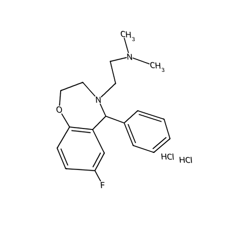 CN(C)CCN1CCOc2ccc(F)cc2C1c1ccccc1.Cl.Cl